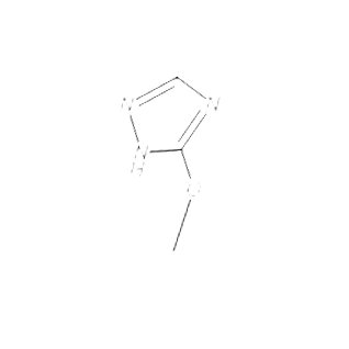 COc1n[c]n[nH]1